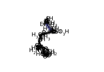 C=CCOC1C[C@H](n2cc(C#CCOCSSC(C)(C)CNC(=O)CCCCC[N+]3=C(/C=C/C=C/C=C4/N(CC)c5ccc(S)cc5C4(C)C)C(C)(C)c4cc(S(=O)(=O)O)ccc43)c3c(=O)[nH]c(N)nc32)O[C@@H]1COP(=O)(O)OP(=O)(O)OP(=O)(O)O